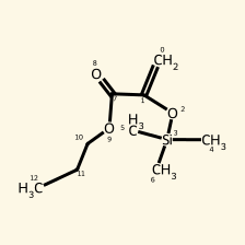 C=C(O[Si](C)(C)C)C(=O)OCCC